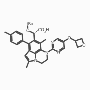 Cc1ccc(-c2c([C@H](OC(C)(C)C)C(=O)O)c(C)c3c4c2cc(C)n4CCN3c2ncc(OC3COC3)cn2)cc1